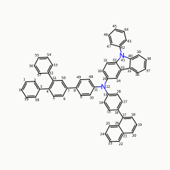 c1ccc(-c2ccc(-c3ccc(N(c4ccc(-c5cccc6ccccc56)cc4)c4ccc5c(c4)c4ccccc4n5-c4ccccc4)cc3)cc2-c2ccccc2)cc1